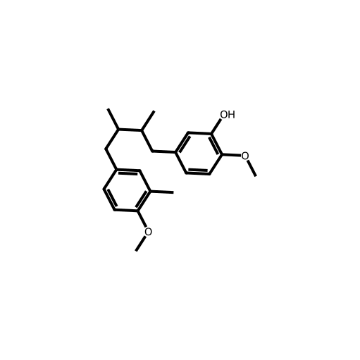 COc1ccc(CC(C)C(C)Cc2ccc(OC)c(O)c2)cc1C